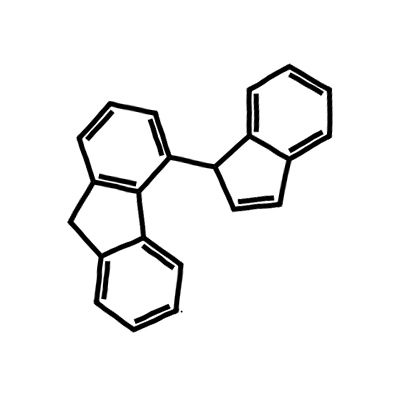 [c]1ccc2c(c1)-c1c(cccc1C1C=Cc3ccccc31)C2